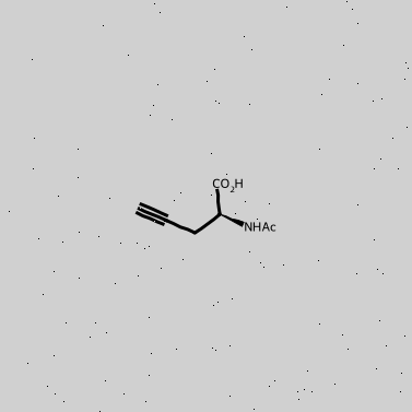 C#CC[C@H](NC(C)=O)C(=O)O